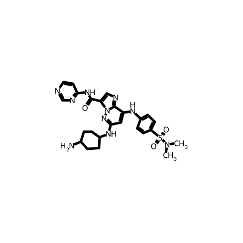 CN(C)S(=O)(=O)c1ccc(Nc2cc(NC3CCC(N)CC3)nn3c(C(=O)Nc4ccncn4)cnc23)cc1